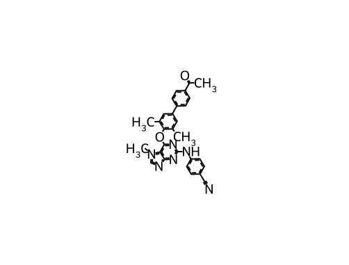 CC(=O)c1ccc(-c2cc(C)c(Oc3nc(Nc4ccc(C#N)cc4)nc4ncn(C)c34)c(C)c2)cc1